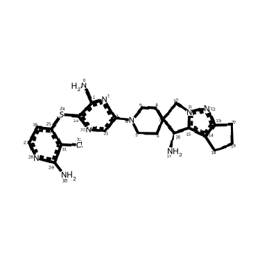 Nc1nc(N2CCC3(CC2)Cn2nc4c(c2[C@H]3N)CCC4)cnc1Sc1ccnc(N)c1Cl